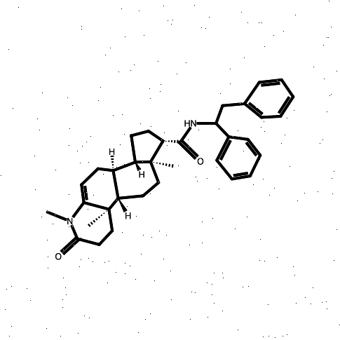 CN1C(=O)CC[C@@]2(C)C1=CC[C@H]1[C@@H]3CC[C@H](C(=O)NC(Cc4ccccc4)c4ccccc4)[C@@]3(C)CC[C@@H]12